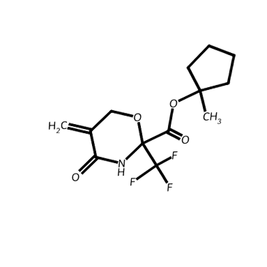 C=C1COC(C(=O)OC2(C)CCCC2)(C(F)(F)F)NC1=O